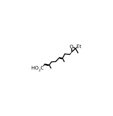 CC[C@]1(C)O[C@@H]1CC/C(C)=C/CC/C(C)=C/C(=O)O